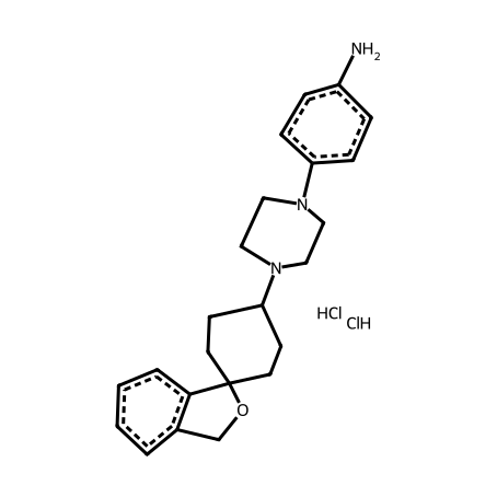 Cl.Cl.Nc1ccc(N2CCN(C3CCC4(CC3)OCc3ccccc34)CC2)cc1